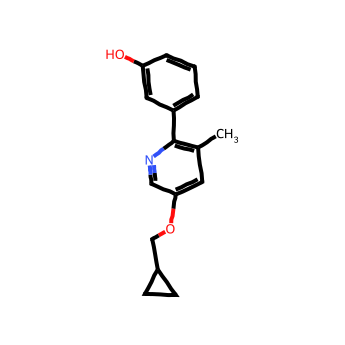 Cc1cc(OCC2CC2)cnc1-c1cccc(O)c1